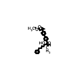 CCOC(=O)CC1(c2ccc(-c3ccc(-c4onc(C)c4C(O)CCCCc4ccccc4)cc3)cc2)CC1